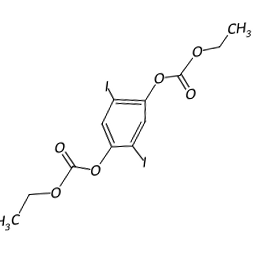 CCOC(=O)Oc1cc(I)c(OC(=O)OCC)cc1I